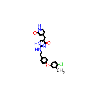 Cc1cc(Oc2ccc(CCNc3nc(=O)c(Cc4cc[nH]c(=O)c4)c[nH]3)cc2)ccc1Cl